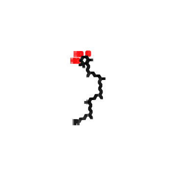 CC1=C(CCC(C)CCCC(C)CCCCC(C)CCC[C@H](C)CCCC(C)CCCC(C)C)C(C)(C)C(O)C(O)C1=O